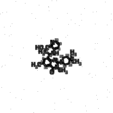 Cc1cc(C(C)Nc2cccnc2C(=O)O)c2nc(N3CCC(C)(C)CC3)n(C)c(=O)c2c1